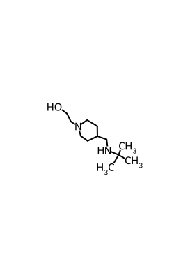 CC(C)(C)NCC1CCN(CCO)CC1